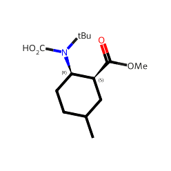 COC(=O)[C@H]1CC(C)CC[C@H]1N(C(=O)O)C(C)(C)C